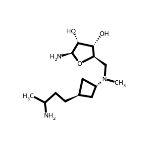 CC(N)CC[C@H]1C[C@H](N(C)C[C@H]2O[C@@H](N)[C@H](O)[C@@H]2O)C1